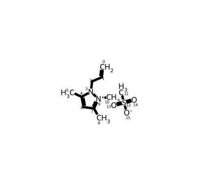 C=CCn1c(C)cc(C)[n+]1C.CS(=O)(=O)[O-]